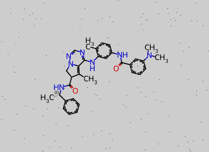 CC1=C2C(Nc3cc(NC(=O)c4cccc(N(C)C)c4)ccc3C)=NC=NN2CC1C(=O)N[C@@H](C)c1ccccc1